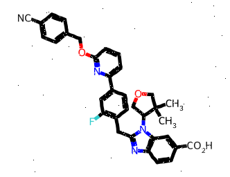 CC1(C)COCC1n1c(Cc2ccc(-c3cccc(OCc4ccc(C#N)cc4)n3)cc2F)nc2ccc(C(=O)O)cc21